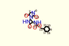 CN1CC(=O)N([C@@H]2NC(=O)[C@H]2NC(=O)OCc2ccccc2)C1=O